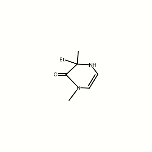 CCC1(C)NC=CN(C)C1=O